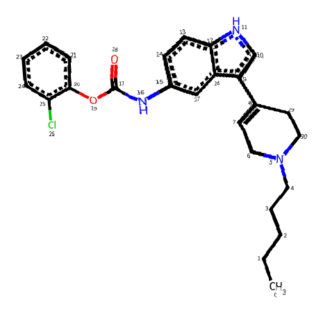 CCCCCN1CC=C(c2c[nH]c3ccc(NC(=O)Oc4ccccc4Cl)cc23)CC1